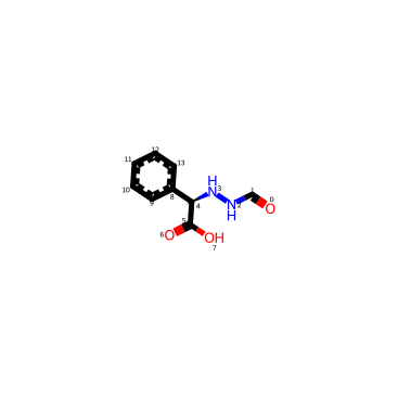 O=CNN[C@@H](C(=O)O)c1ccccc1